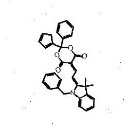 CC1(C)/C(=C\C=C2C(=O)OC(C3=CC=CC3)(c3ccccc3)OC2=O)N(Cc2ccccc2)c2ccccc21